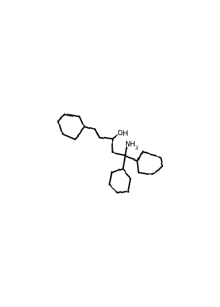 NC(CC(O)CCC1CCCCC1)(C1CCCCC1)C1CCCCC1